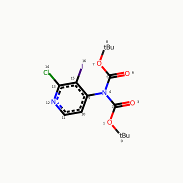 CC(C)(C)OC(=O)N(C(=O)OC(C)(C)C)c1ccnc(Cl)c1I